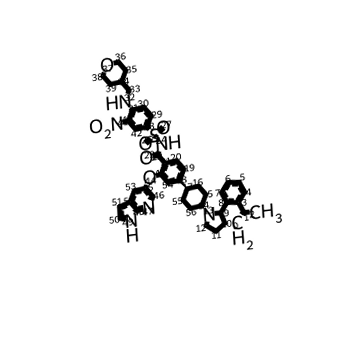 C=C(C)c1ccccc1C1CCCN1[C@H]1CC[C@H](c2ccc(C(=O)NS(=O)(=O)c3ccc(NCC4CCOCC4)c([N+](=O)[O-])c3)c(Oc3cnc4[nH]ccc4c3)c2)CC1